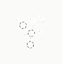 CC(C)c1nc2c(c(-c3ccc(F)cc3)c1CO[Si](C)(C)C(C)(C)C)CCCc1ccccc1-2